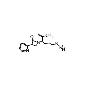 CC(=S)C(CCCN=[N+]=[N-])N1CC(c2ccccn2)C1=O